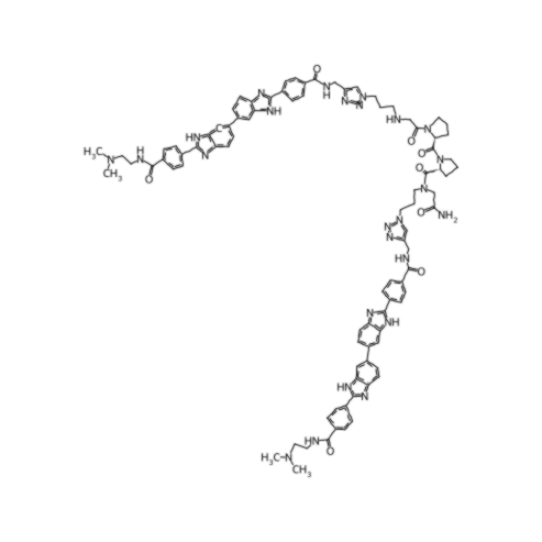 CN(C)CCNC(=O)c1ccc(-c2nc3ccc(-c4ccc5nc(-c6ccc(C(=O)NCc7cn(CCCNCC(=O)N8CCC[C@H]8C(=O)N8CCC[C@H]8C(=O)N(CCCn8cc(CNC(=O)c9ccc(-c%10nc%11ccc(-c%12ccc%13nc(-c%14ccc(C(=O)NCCN(C)C)cc%14)[nH]c%13c%12)cc%11[nH]%10)cc9)nn8)CC(N)=O)nn7)cc6)[nH]c5c4)cc3[nH]2)cc1